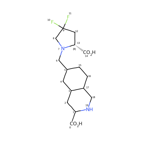 O=C(O)C1CC2CC(CN3CC(F)(F)C[C@@H]3C(=O)O)CCC2CN1